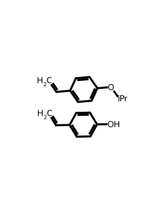 C=Cc1ccc(O)cc1.C=Cc1ccc(OC(C)C)cc1